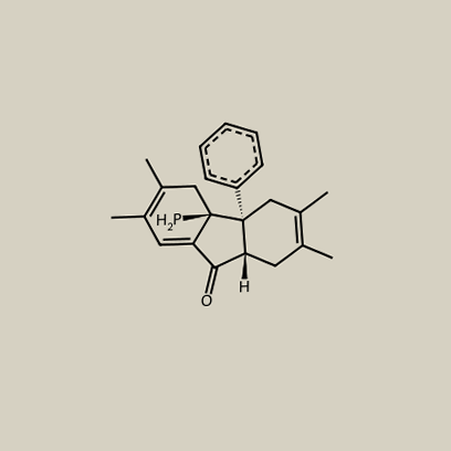 CC1=C(C)C[C@@]2(P)C(=C1)C(=O)[C@H]1CC(C)=C(C)C[C@@]12c1ccccc1